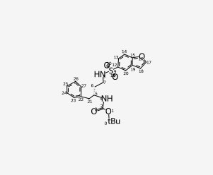 CC(C)(C)OC(=O)N[C@@H](CCNS(=O)(=O)c1ccc2occc2c1)Cc1ccccc1